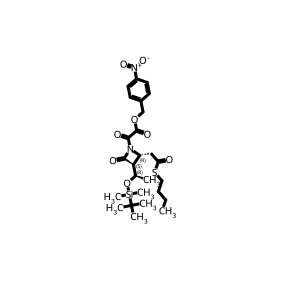 CCCCSC(=O)C[C@@H]1[C@@H]([C@@H](C)O[Si](C)(C)C(C)(C)C)C(=O)N1C(=O)C(=O)OCc1ccc([N+](=O)[O-])cc1